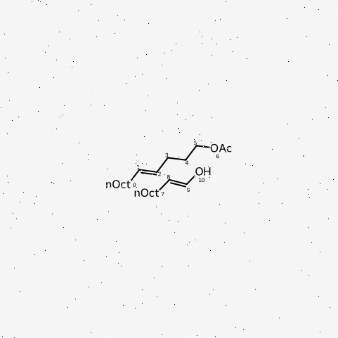 CCCCCCCCC=CCCCOC(C)=O.CCCCCCCCC=CO